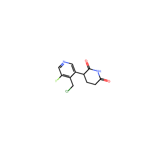 O=C1CCC(c2cncc(F)c2CCl)C(=O)N1